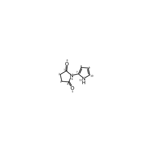 O=C1CCC(=O)N1c1ccc[nH]1